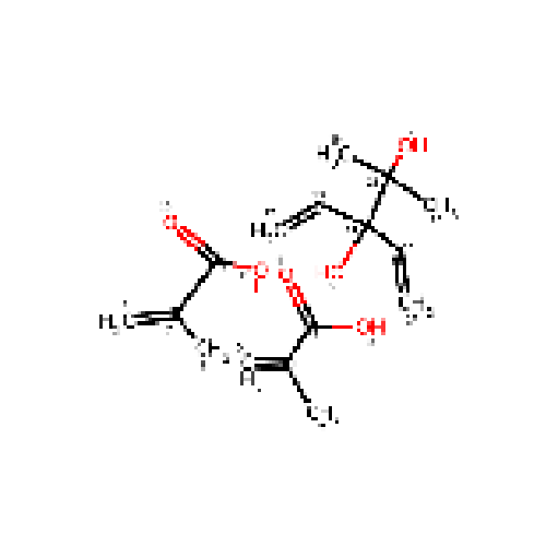 C=C(C)C(=O)O.C=C(C)C(=O)O.C=CC(O)(C=C)C(C)(C)O